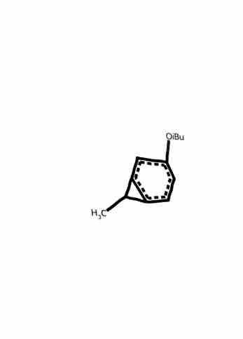 CC(C)COc1ccc2c(c1)C2C